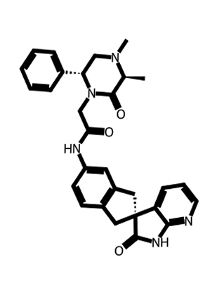 C[C@H]1C(=O)N(CC(=O)Nc2ccc3c(c2)C[C@@]2(C3)C(=O)Nc3ncccc32)[C@H](c2ccccc2)CN1C